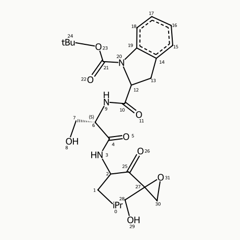 CC(C)CC(NC(=O)[C@H](CO)NC(=O)C1Cc2ccccc2N1C(=O)OC(C)(C)C)C(=O)C1(CO)CO1